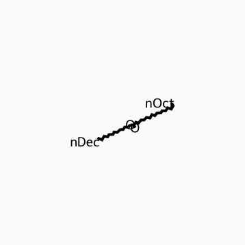 CCCCCCCC/C=C\CCCCCCCCCCCCCC(=O)OCCCCCCCCCCCCCCCCCCCCCC